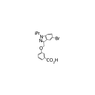 CC(C)n1nc(COc2cccc(C(=O)O)c2)c2cc(Br)ccc21